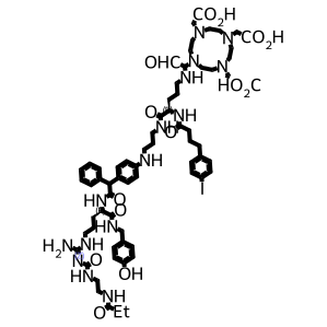 CCC(=O)NCCNC(=O)/N=C(/N)NCCC[C@@H](NC(=O)C(c1ccccc1)c1ccc(NCCCNC(=O)[C@@H](CCCNC(C=O)N2CCN(CC(=O)O)CCN(CC(=O)O)CCN(CC(=O)O)CC2)NC(=O)CCCc2ccc(I)cc2)cc1)C(=O)NCc1ccc(O)cc1